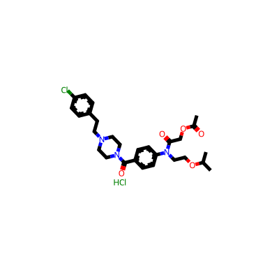 CC(=O)OCC(=O)N(CCOC(C)C)c1ccc(C(=O)N2CCN(CCc3ccc(Cl)cc3)CC2)cc1.Cl